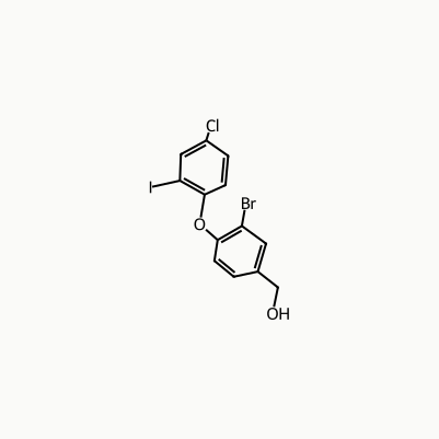 OCc1ccc(Oc2ccc(Cl)cc2I)c(Br)c1